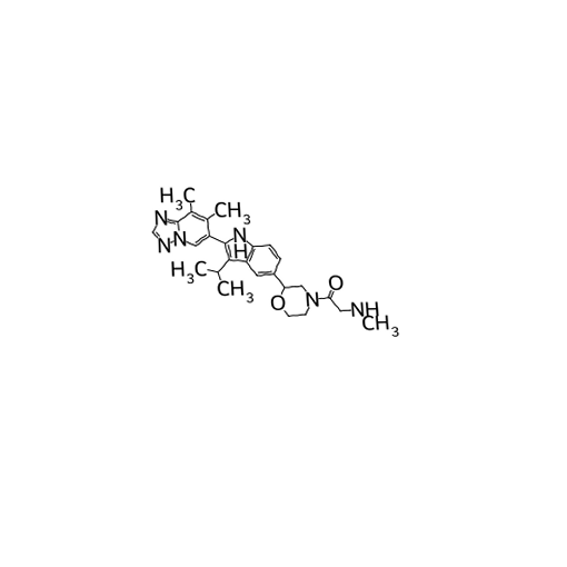 CNCC(=O)N1CCOC(c2ccc3[nH]c(-c4cn5ncnc5c(C)c4C)c(C(C)C)c3c2)C1